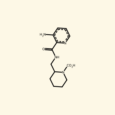 Nc1cccnc1C(=O)NCC1CCCCN1C(=O)O